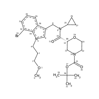 COCCCn1cc(CN(C(=O)[C@H]2CN(C(=O)OC(C)(C)C)CCO2)C2CC2)c2cccc(Br)c21